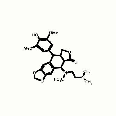 COc1cc(C2c3cc4c(cc3C(N(CCN(C)C)C(=O)O)C3C(=O)OCC23)OCO4)cc(OC)c1O